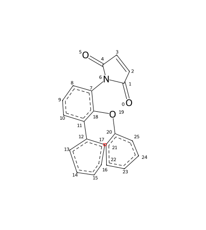 O=C1C=CC(=O)N1c1cccc(-c2ccccc2)c1Oc1ccccc1